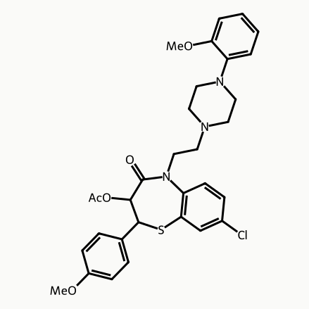 COc1ccc(C2Sc3cc(Cl)ccc3N(CCN3CCN(c4ccccc4OC)CC3)C(=O)C2OC(C)=O)cc1